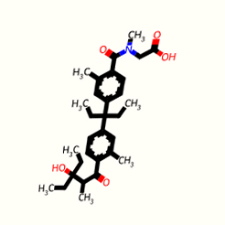 CCC(CC)(c1ccc(C(=O)C(C)C(O)(CC)CC)c(C)c1)c1ccc(C(=O)N(C)CC(=O)O)c(C)c1